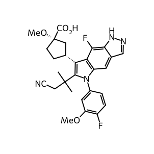 COc1cc(-n2c(C(C)(C)CC#N)c([C@@H]3CC[C@@](OC)(C(=O)O)C3)c3c(F)c4[nH]ncc4cc32)ccc1F